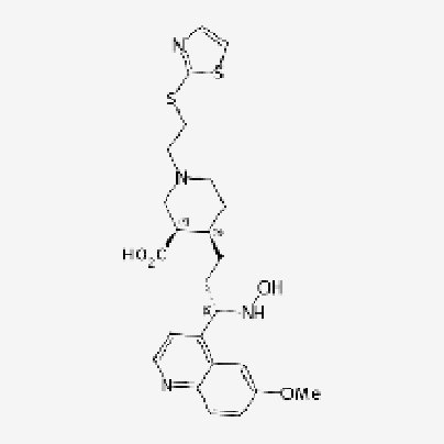 COc1ccc2nccc([C@H](CC[C@@H]3CCN(CCSc4nccs4)C[C@@H]3C(=O)O)NO)c2c1